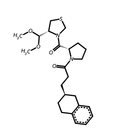 COC(OC)[C@@H]1CSCN1C(=O)[C@@H]1CCCN1C(=O)CC[C@@H]1CCc2ccccc2C1